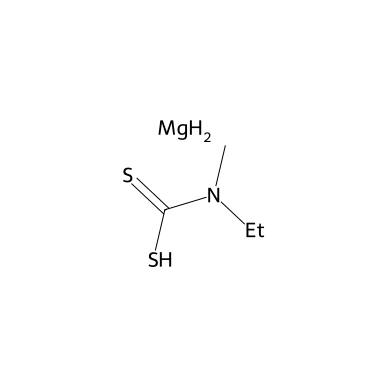 CCN(C)C(=S)S.[MgH2]